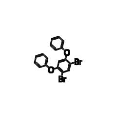 Brc1cc(Br)c(Oc2ccccc2)cc1Oc1ccccc1